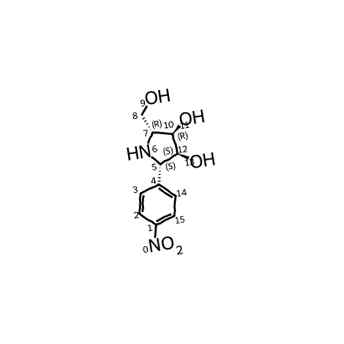 O=[N+]([O-])c1ccc([C@@H]2N[C@H](CO)[C@@H](O)[C@H]2O)cc1